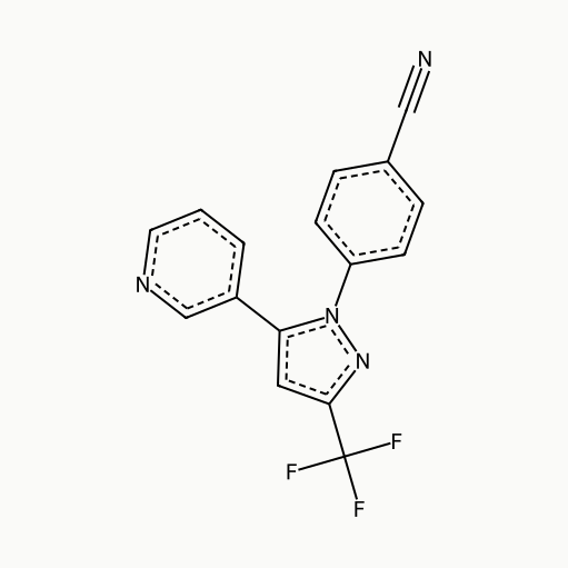 N#Cc1ccc(-n2nc(C(F)(F)F)cc2-c2cccnc2)cc1